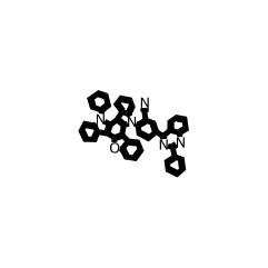 N#Cc1cc(-c2nc(-c3ccccc3)nc3ccccc23)ccc1-n1c2ccccc2c2c3c(c4ccccc4n3-c3ccccc3)c3oc4ccccc4c3c21